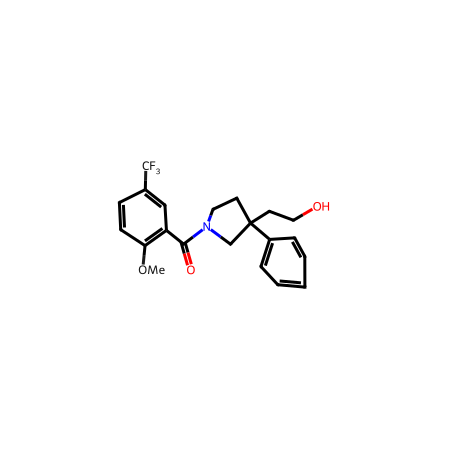 COc1ccc(C(F)(F)F)cc1C(=O)N1CCC(CCO)(c2ccccc2)C1